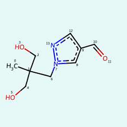 CC(CO)(CO)Cn1cc(C=O)cn1